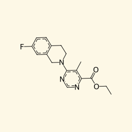 CCOC(=O)c1ncnc(N2CCc3ccc(F)cc3C2)c1C